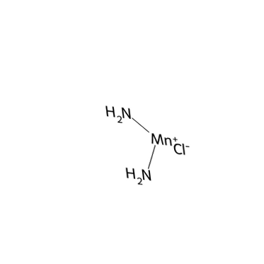 [Cl-].[NH2][Mn+][NH2]